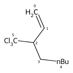 C=CC(CCCCC)C(Cl)(Cl)Cl